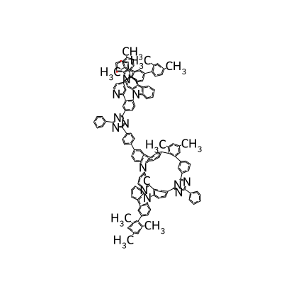 Cc1ccc(-c2ccc3c(c2)c2ccccc2n3-c2ccnc(-c3cc(-c4nc(-c5ccccc5)nc(-c5ccc(-c6ccc7c(c6)c6cc8ccc6n7-c6ccnc(c6)-c6cc(ccc6-n6c7ccccc7c7cc(-c9c(C)cc(C)cc9C)ccc76)-c6nc(-c7ccccc7)nc(n6)-c6cccc(c6)-c6cc(C)cc(C)c6-8)cc5)n4)ccc3-n3c4ccccc4c4cc(-c5ccc(C)cc5C)ccc43)c2)c(C)c1